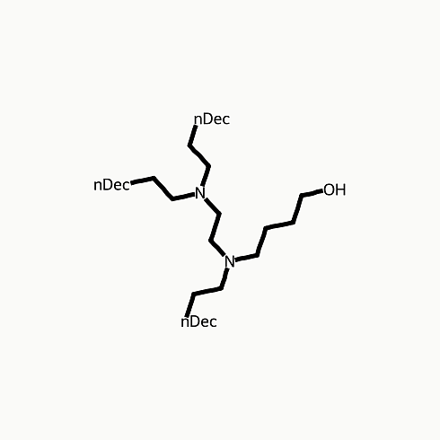 CCCCCCCCCCCCN(CCCCO)CCN(CCCCCCCCCCCC)CCCCCCCCCCCC